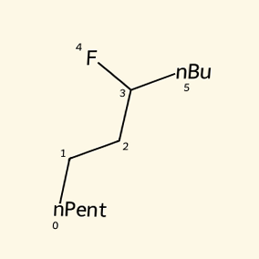 CCCCCCCC(F)CCCC